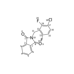 O=C1c2ccccc2C(=O)N1Cc1c(F)ccc(Cl)c1F